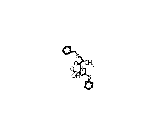 CC(CSCc1ccccc1)C(=O)N1C[C@@H](Sc2ccccc2)C[C@H]1C(=O)O